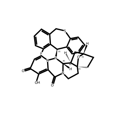 O=C1c2c(O)c(=O)ccn2N([C@@H]2c3ccccc3SCc3cccc(F)c32)[C@@H]2[C@H]3C[C@@H]4CC[C@@]3(CCN12)O4